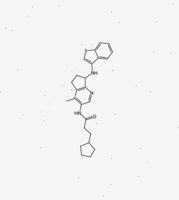 Cc1c(NC(=O)CCC2CCCC2)cnc2c1CCC2Nc1csc2ccccc12